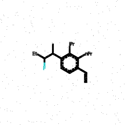 C=Cc1ccc(C(C)C(F)CC)c(C(C)C)c1CCC